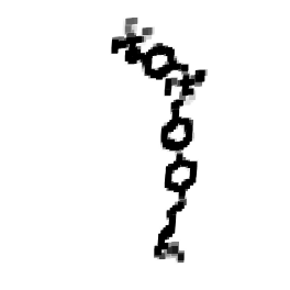 CC=CCCC1CCC(c2ccc(COC(F)(F)Cc3ccc(OC(F)(F)F)cc3)cc2)CC1